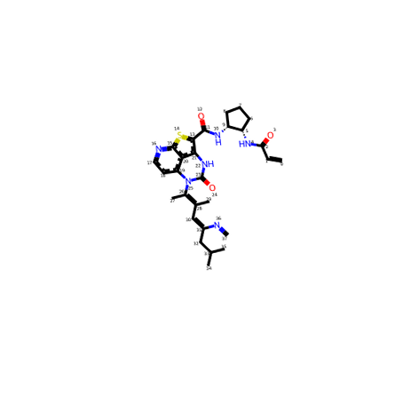 C=CC(=O)N[C@H]1CCC[C@H]1NC(=O)c1sc2nccc3c2c1NC(=O)N3/C(C)=C(C)/C=C(/CC(C)C)N=C